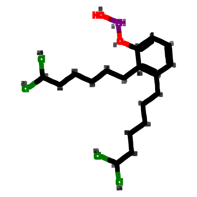 OPOc1cccc(CCCCCC(Cl)Cl)c1CCCCCC(Cl)Cl